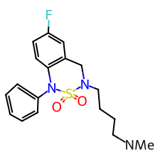 CNCCCCN1Cc2cc(F)ccc2N(c2ccccc2)S1(=O)=O